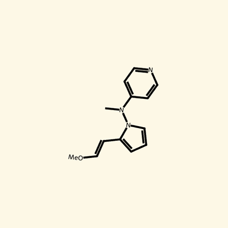 COC=Cc1cccn1N(C)c1ccncc1